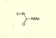 CNC(=O)N=S